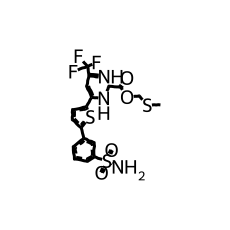 CSCOC(=O)CN/C(=C\C(=N)C(F)(F)F)c1ccc(-c2cccc(S(N)(=O)=O)c2)s1